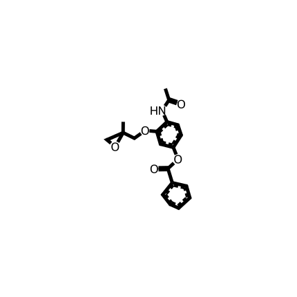 CC(=O)Nc1ccc(OC(=O)c2ccccc2)cc1OCC1(C)CO1